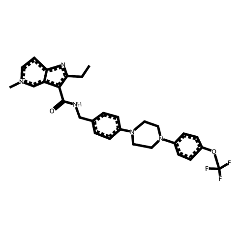 CCc1nc2ccn(C)cc-2c1C(=O)NCc1ccc(N2CCN(c3ccc(OC(F)(F)F)cc3)CC2)cc1